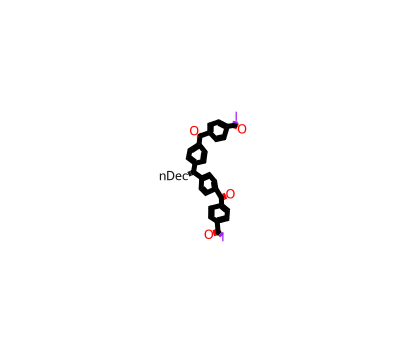 CCCCCCCCCCC(c1ccc(C(=O)c2ccc(C(=O)I)cc2)cc1)c1ccc(C(=O)c2ccc(C(=O)I)cc2)cc1